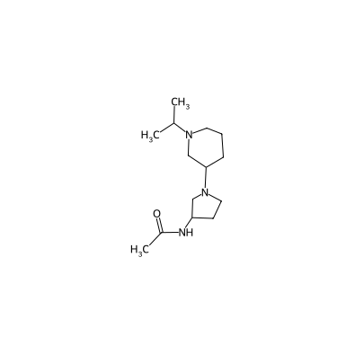 CC(=O)NC1CCN(C2CCCN(C(C)C)C2)C1